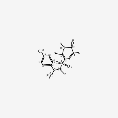 Cc1cc(S(=O)(=O)N(C)C(c2ccc(Cl)cc2)C(F)(F)F)c(C)n(C)c1=O